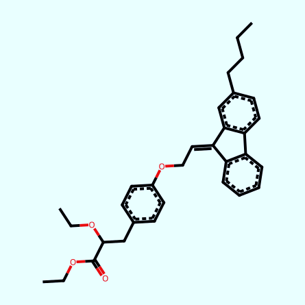 CCCCc1ccc2c(c1)/C(=C/COc1ccc(CC(OCC)C(=O)OCC)cc1)c1ccccc1-2